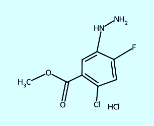 COC(=O)c1cc(NN)c(F)cc1Cl.Cl